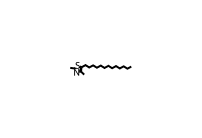 CCCCCCCCCCCCCc1sc(C)nc1C